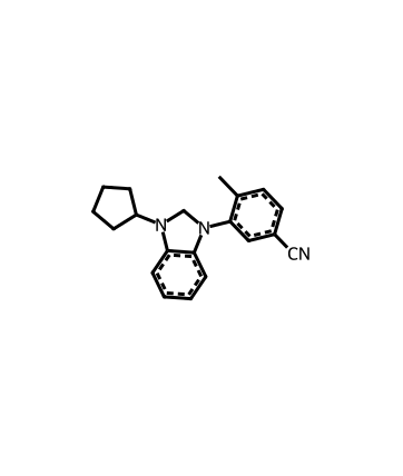 Cc1ccc(C#N)cc1N1CN(C2CCCC2)c2ccccc21